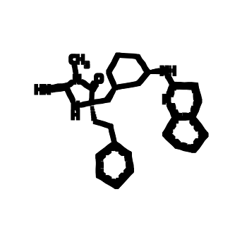 CN1C(=N)N[C@](CCc2ccccc2)(C[C@H]2CCC[C@@H](Nc3ccc4ccccc4n3)C2)C1=O